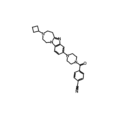 N#Cc1ccc(C(=O)N2CCN(c3ccc4c(c3)nc3n4CCN(C4CCC4)CC3)CC2)cc1